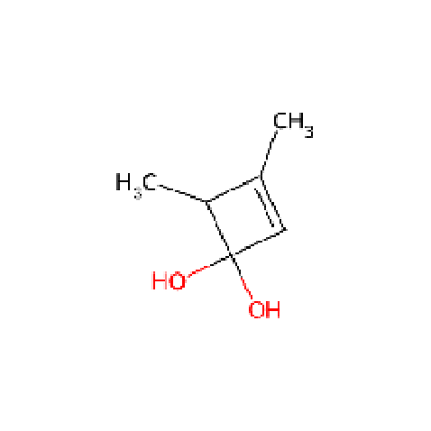 CC1=CC(O)(O)C1C